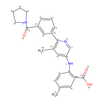 Cc1ccc(Nc2cnc(-c3cccc(C(=O)N4CCCC4)c3)c(C)c2)c(C(=O)O)c1